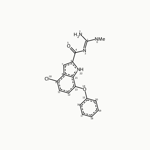 CNC(N)=NC(=O)c1cc2c(Cl)ccc(Oc3ccccc3)c2[nH]1